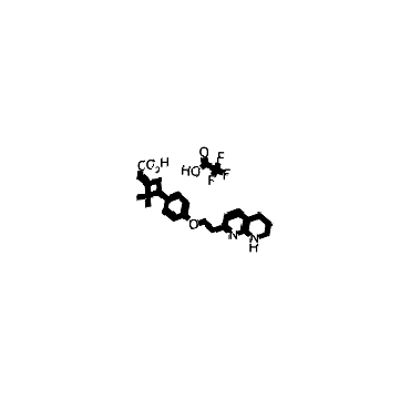 CC1(C)C(=CC(=O)O)CC1c1ccc(OCCc2ccc3c(n2)NCCC3)cc1.O=C(O)C(F)(F)F